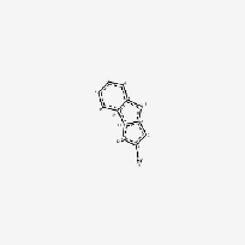 Brc1cc2sc3ccccc3c2s1